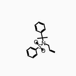 C=CCN(C(C)(C)c1ccccc1)S(=O)(=O)c1ccccc1